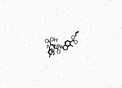 C=CCOC(=O)c1ccc2c(c1C)CC[C@@H]2NC(=O)c1cc(C(=O)O)nc2cc(C)nn12